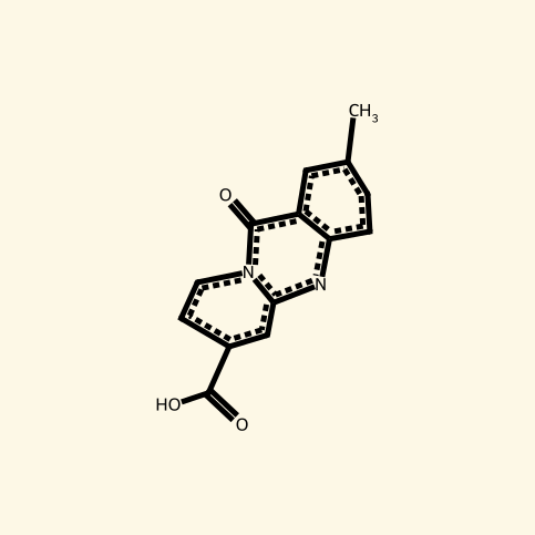 Cc1ccc2nc3cc(C(=O)O)ccn3c(=O)c2c1